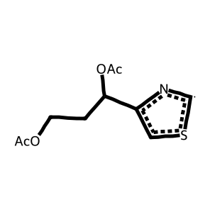 CC(=O)OCCC(OC(C)=O)c1cs[c]n1